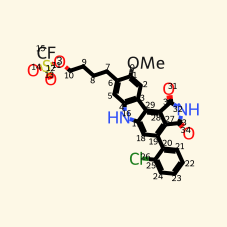 COc1cc2c(cc1CCCCOS(=O)(=O)C(F)(F)F)[nH]c1cc(-c3ccccc3Cl)c3c(c12)C(=O)NC3=O